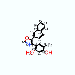 CC(C)c1cc(-c2ncoc2-c2ccc3ccccc3c2)c(O)cc1O